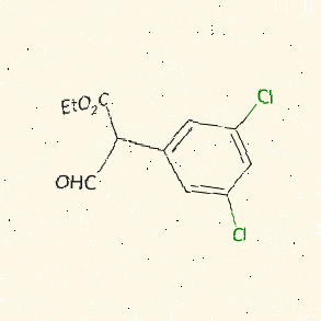 CCOC(=O)C(C=O)c1cc(Cl)cc(Cl)c1